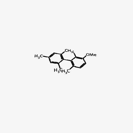 COc1ccc(C)c(-c2c(C)cc(C)cc2C)c1I